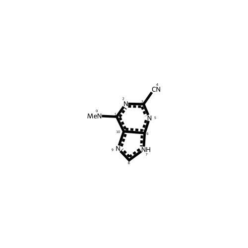 CNc1nc(C#N)nc2[nH]cnc12